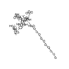 COCCOCCOCCOCCOCCOCCOCCOCCOCCOCC(=O)NCCCC[C@H](NC(=O)CCCN1C(=O)C=CC1=O)C(=O)N[C@H](C(=O)N[C@@H](CCCNC(N)=O)C(=O)Nc1cc(C[C@@H](C[C@H](C)C(=O)O)NC(=O)OC(C)(C)C)ccc1O)C(C)C